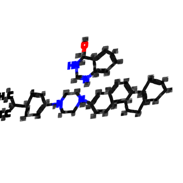 CC(C)c1ccc(N2CCN(c3ccc4c5c(ccc4c3)C3=C(CCC=C3)CC5)CC2)cc1.O=c1[nH]cnc2ccccc12